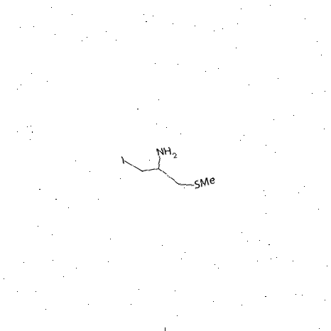 CSCC(N)CI